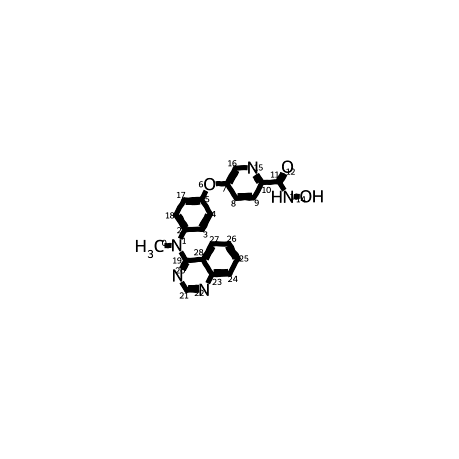 CN(c1ccc(Oc2ccc(C(=O)NO)nc2)cc1)c1ncnc2ccccc12